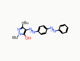 CCCCc1nn(C(C)(C)C)c(O)c1/N=N/c1ccc(/N=N/c2ccccc2)cc1